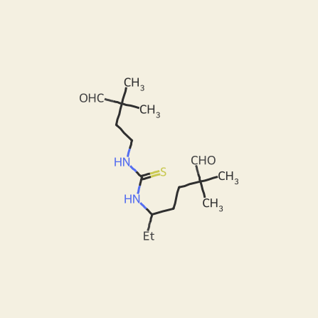 CCC(CCC(C)(C)C=O)NC(=S)NCCC(C)(C)C=O